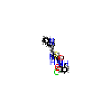 Cc1cccc(Cl)c1C(=O)NNC(=O)c1cnc(C#Cc2cnc3ccccc3c2)s1